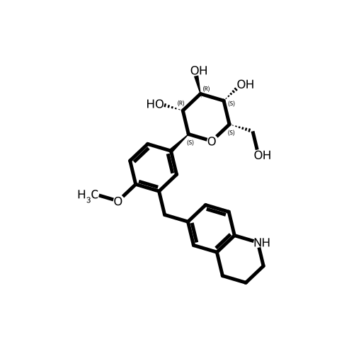 COc1ccc([C@@H]2O[C@@H](CO)[C@@H](O)[C@H](O)[C@H]2O)cc1Cc1ccc2c(c1)CCCN2